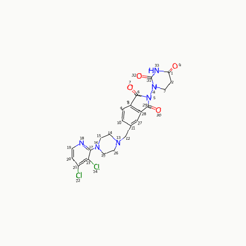 O=C1CCN(N2C(=O)c3ccc(CN4CCN(c5nccc(Cl)c5Cl)CC4)cc3C2=O)C(=O)N1